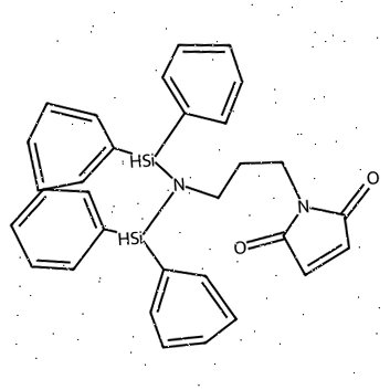 O=C1C=CC(=O)N1CCCN([SiH](c1ccccc1)c1ccccc1)[SiH](c1ccccc1)c1ccccc1